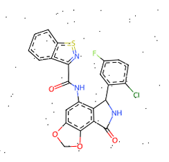 O=C1NC(c2cc(F)ccc2Cl)c2c(NC(=O)c3nsc4ccccc34)cc3c(c21)OCO3